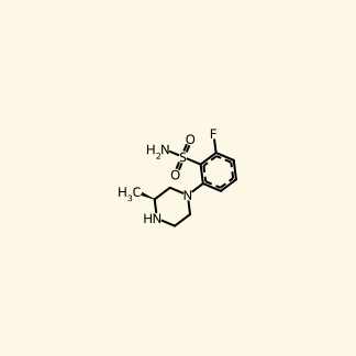 C[C@H]1CN(c2cccc(F)c2S(N)(=O)=O)CCN1